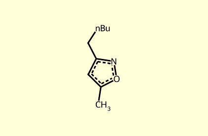 CCCCCc1cc(C)on1